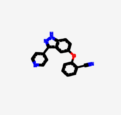 N#Cc1ccccc1Oc1ccc2[nH]nc(-c3ccncc3)c2c1